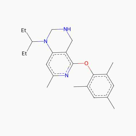 CCC(CC)N1CNCc2c1cc(C)nc2Oc1c(C)cc(C)cc1C